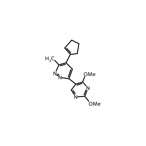 COc1ncc(-c2cc(C3=CCCC3)c(C)nn2)c(OC)n1